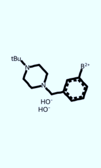 [B+2]c1cccc(CN2CCN(C(C)(C)C)CC2)c1.[OH-].[OH-]